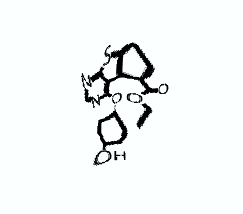 CCOC(=O)C1CCc2sc3ncnc(O[C@H]4CC[C@H](O)CC4)c3c21